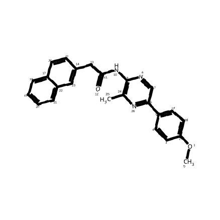 COc1ccc(-c2cnc(NC(=O)Cc3ccc4ccccc4c3)c(C)n2)cc1